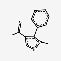 CC(=O)c1cnn(C)c1-c1ccccc1